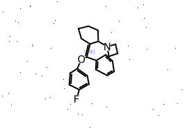 Fc1ccc(O/C(=C2\CCCCC2N2CCC2)c2ccccc2)cc1